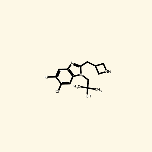 CC(C)(O)Cn1c(CC2CNC2)nc2cc(Cl)c(Cl)cc21